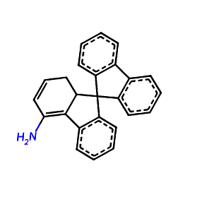 NC1=C2c3ccccc3C3(c4ccccc4-c4ccccc43)C2CC=C1